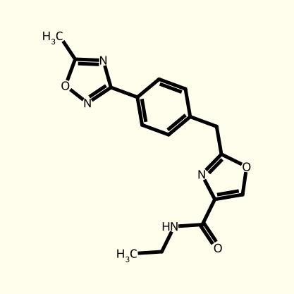 CCNC(=O)c1coc(Cc2ccc(-c3noc(C)n3)cc2)n1